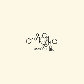 COC(=O)N1CC[C@](NN(C(=O)OC(C)(C)C)c2ccccc2)(c2ccccc2NC(=O)OCc2ccccc2)C1C